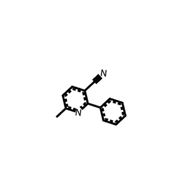 Cc1ccc(C#N)c(-c2ccccc2)n1